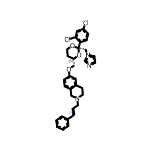 Clc1ccc([C@]2(Cn3ccnc3)OCC[C@@H](COc3ccc4c(c3)CCN(C/C=C/c3cc[c]cc3)C4)O2)c(Cl)c1